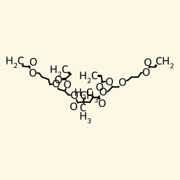 C=CC(=O)OCCCCOCC(COC(=O)C(=C)CC(C)(C)C(=O)OCC(COCCCCOC(=O)C=C)OC(=O)C=C)OC(=O)C=C